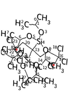 CC(C)O[Si](OC(C)C)(OC(C)C)C(CCC(Cl)(Cl)Cl)(CC(Cl)(Cl)Cl)[Si](OC(C)C)(OC(C)C)OC(C)C